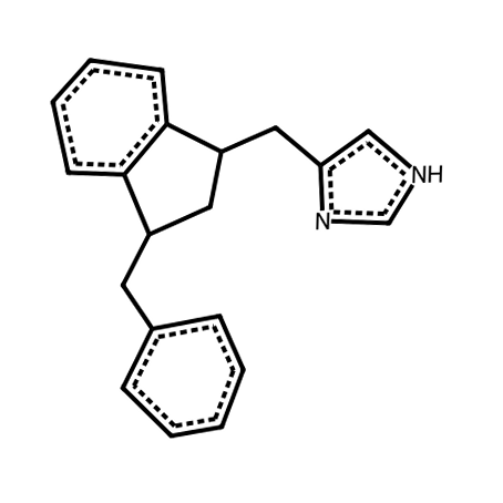 c1ccc(CC2CC(Cc3c[nH]cn3)c3ccccc32)cc1